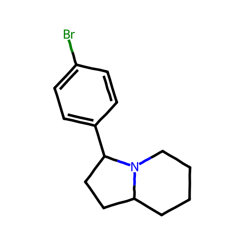 Brc1ccc(C2CCC3CCCCN32)cc1